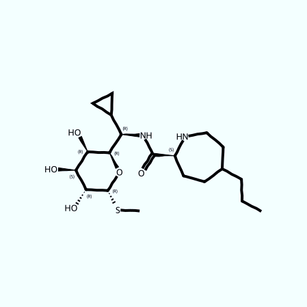 CCCC1CCN[C@H](C(=O)N[C@H](C2CC2)[C@H]2O[C@H](SC)[C@H](O)[C@@H](O)[C@H]2O)CC1